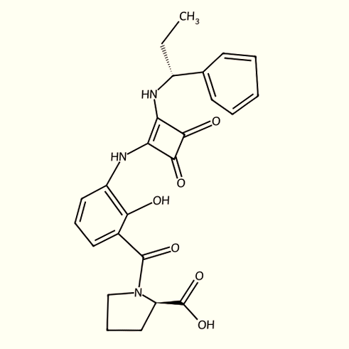 CC[C@@H](Nc1c(Nc2cccc(C(=O)N3CCC[C@@H]3C(=O)O)c2O)c(=O)c1=O)c1ccccc1